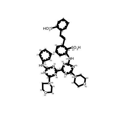 O=S(=O)(O)c1ccccc1C=Cc1cccc(Nc2nc(-c3nc(Nc4ccccc4)nc(N4CCOCC4)n3)nc(N3CCOCC3)n2)c1S(=O)(=O)O